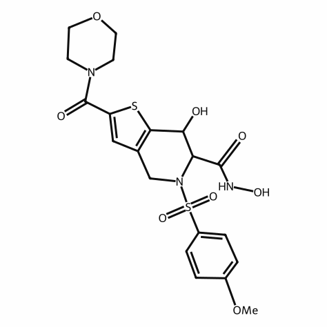 COc1ccc(S(=O)(=O)N2Cc3cc(C(=O)N4CCOCC4)sc3C(O)C2C(=O)NO)cc1